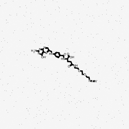 [N-]=[N+]=NCCOCCOCCNC(=O)CCC(NC(=O)c1ccc(NCc2cnc3nc(N)nc(O)c3n2)cc1)C(=O)O